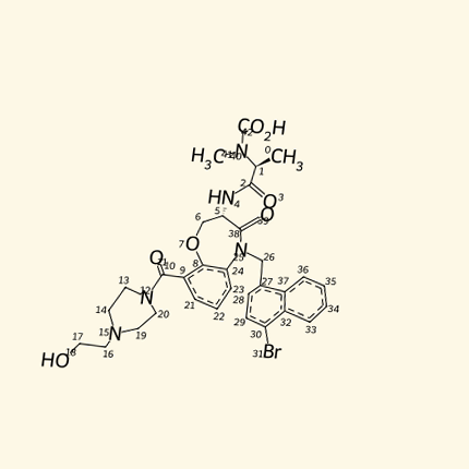 C[C@@H](C(=O)N[C@H]1COc2c(C(=O)N3CCN(CCO)CC3)cccc2N(Cc2ccc(Br)c3ccccc23)C1=O)N(C)C(=O)O